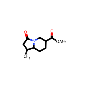 COC(=O)C1CCC2C(C(F)(F)F)CC(=O)N2C1